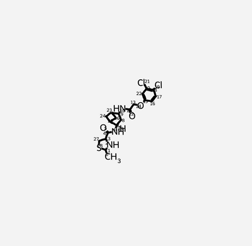 CC1NC(C(=O)N[C@@H]2CC(NC(=O)COc3ccc(Cl)c(Cl)c3)C3CC2C3)CS1